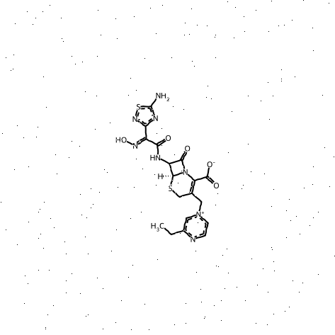 CCc1c[n+](CC2=C(C(=O)[O-])N3C(=O)C(NC(=O)C(=NO)c4nsc(N)n4)[C@@H]3SC2)ccn1